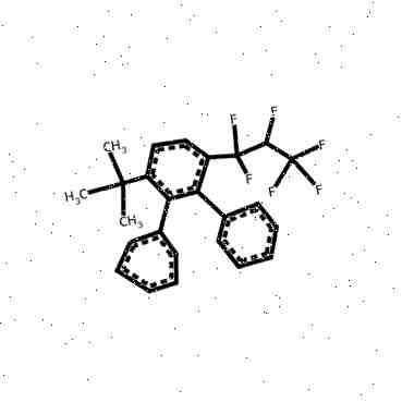 CC(C)(C)c1ccc(C(F)(F)C(F)C(F)(F)F)c(-c2ccccc2)c1-c1ccccc1